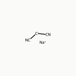 N#C[CH-]C#N.[Na+]